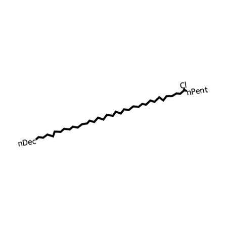 CCCCCCCCCCCCCCCCCCCCCCCCCCCCCCCCCCCCCCCCCCCCC(Cl)CCCCC